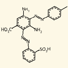 Cc1ccc(N=Nc2c(N)cc(C(=O)O)c(N=Nc3ccccc3S(=O)(=O)O)c2N)cc1